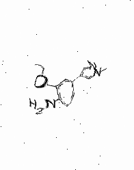 CCOc1cc(-c2cnn(C)c2)ccc1N